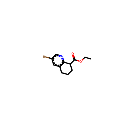 CCOC(=O)C1CCCc2cc(Br)cnc21